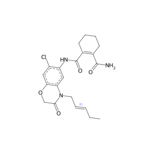 CC/C=C/CN1C(=O)COc2cc(Cl)c(NC(=O)C3=C(C(N)=O)CCCC3)cc21